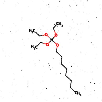 CCCCCCCCO[Si](OCC)(OCC)OCC